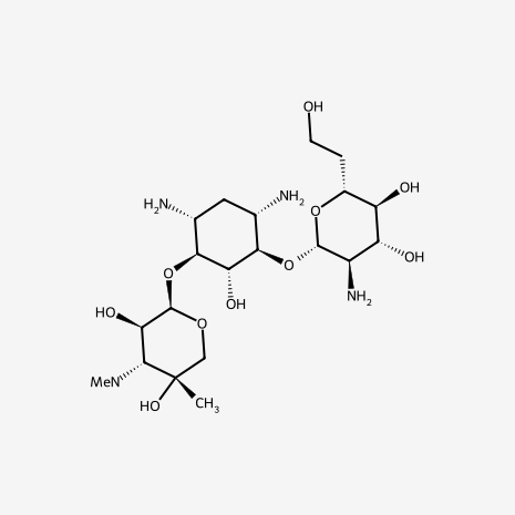 CN[C@@H]1[C@@H](O)[C@@H](O[C@@H]2[C@@H](O)[C@H](O[C@@H]3O[C@H](CCO)[C@@H](O)[C@H](O)[C@H]3N)[C@@H](N)C[C@H]2N)OC[C@]1(C)O